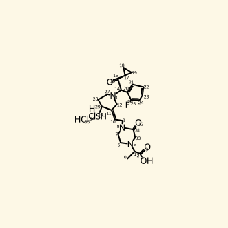 CC(C(=O)O)N1CCN(CC=C2CN(C(C(=O)C3CC3)c3ccccc3F)CCC2S)C(=O)C1.Cl.Cl